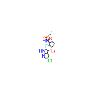 CCCS(=O)(=O)Nc1cccc(C(=O)c2c[nH]c3ncc(Cl)cc23)c1F